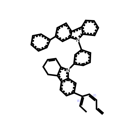 C=C/C=C\C(=C/C)c1ccc2c3c(n(-c4cccc(-n5c6ccccc6c6ccc(-c7ccccc7)cc65)c4)c2c1)C=CCC3